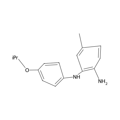 Cc1ccc(N)c(Nc2ccc(OC(C)C)cc2)c1